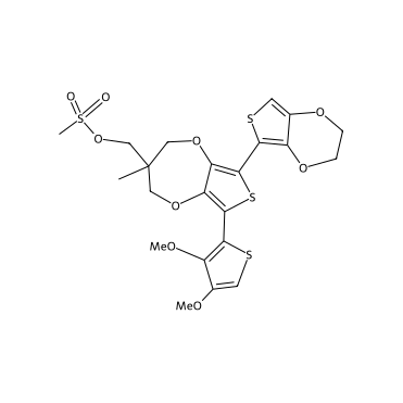 COc1csc(-c2sc(-c3scc4c3OCCO4)c3c2OCC(C)(COS(C)(=O)=O)CO3)c1OC